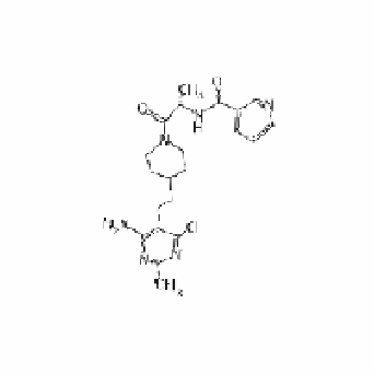 Cc1nc(N)c(CCC2CCN(C(=O)[C@H](C)NC(=O)c3cccnc3)CC2)c(Cl)n1